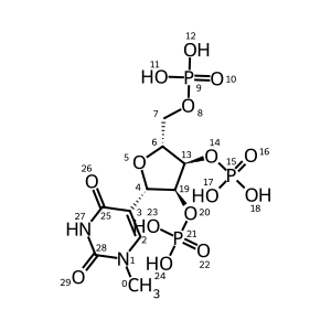 Cn1cc([C@@H]2O[C@H](COP(=O)(O)O)[C@@H](OP(=O)(O)O)[C@H]2OP(=O)(O)O)c(=O)[nH]c1=O